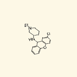 CCN1CCCC(NC2c3ccccc3Oc3ccc(Cl)cc32)C1